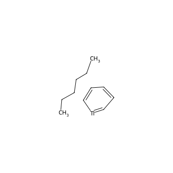 C1=C[CH]=[Tl][CH]=C1.CCCCCC